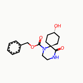 O=C(OCc1ccccc1)N1CCNC(=O)[C@]12CC[C@@H](O)CC2